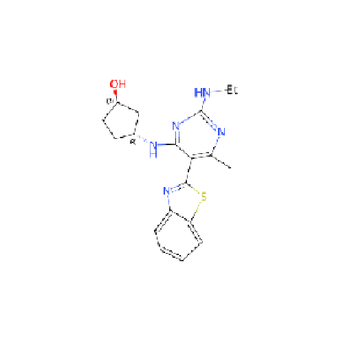 CCNc1nc(C)c(-c2nc3ccccc3s2)c(N[C@@H]2CC[C@@H](O)C2)n1